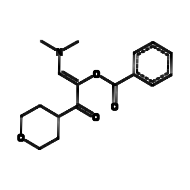 CN(C)C=C(OC(=O)c1ccccc1)C(=O)C1CCOCC1